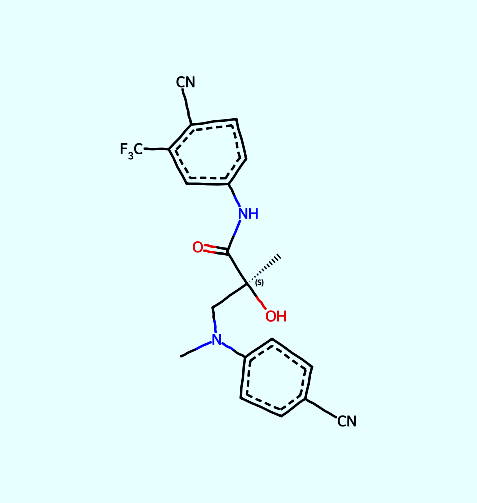 CN(C[C@](C)(O)C(=O)Nc1ccc(C#N)c(C(F)(F)F)c1)c1ccc(C#N)cc1